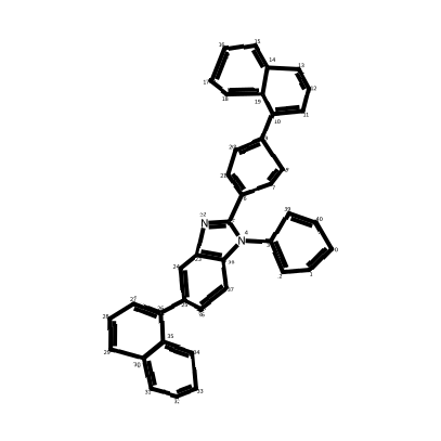 c1ccc(-n2c(-c3ccc(-c4cccc5ccccc45)cc3)nc3cc(-c4cccc5ccccc45)ccc32)cc1